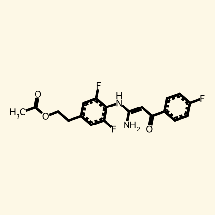 CC(=O)OCCc1cc(F)c(NC(N)=CC(=O)c2ccc(F)cc2)c(F)c1